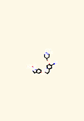 CN1CCC(COc2cc3nc(Oc4ccc5c(ccn5C(=O)O)c4)ccc3cc2C#N)CC1